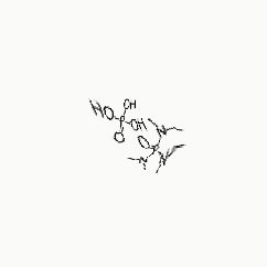 CN(C)P(=O)(N(C)C)N(C)C.O=P(O)(O)O